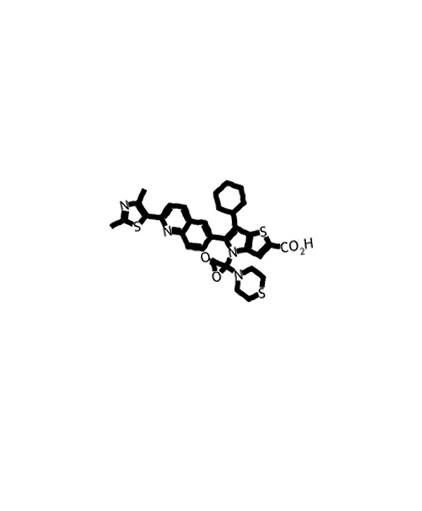 Cc1nc(C)c(-c2ccc3cc(-c4c(C5CCCCC5)c5sc(C(=O)O)cc5n4C4(N5CCSCC5)OC4=O)ccc3n2)s1